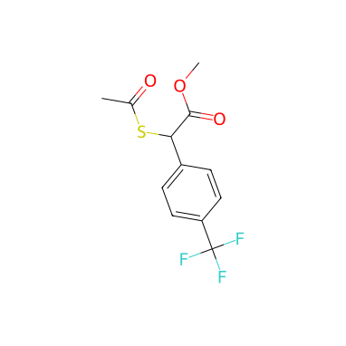 COC(=O)C(SC(C)=O)c1ccc(C(F)(F)F)cc1